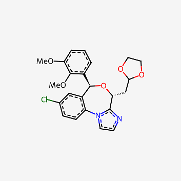 COc1cccc([C@H]2O[C@H](CC3OCCO3)c3nccn3-c3ccc(Cl)cc32)c1OC